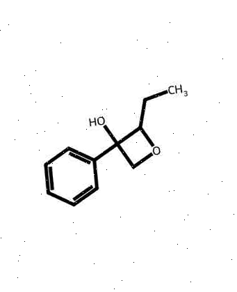 CCC1OCC1(O)c1ccccc1